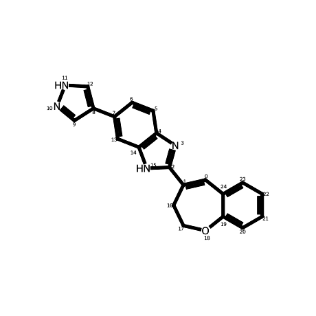 C1=C(c2nc3ccc(-c4cn[nH]c4)cc3[nH]2)CCOc2ccccc21